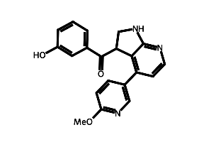 COc1ccc(-c2ccnc3c2C(C(=O)c2cccc(O)c2)CN3)cn1